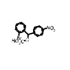 O=C(O)OC(c1ccc([N+](=O)[O-])cc1)c1ccccc1Br